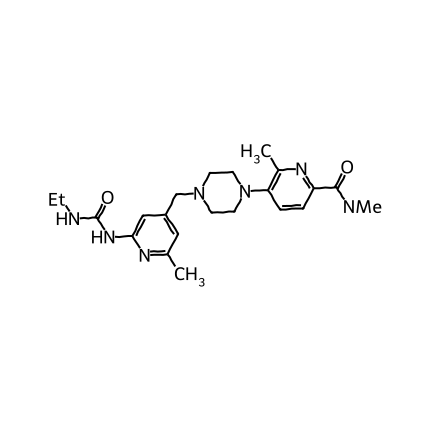 CCNC(=O)Nc1cc(CN2CCN(c3ccc(C(=O)NC)nc3C)CC2)cc(C)n1